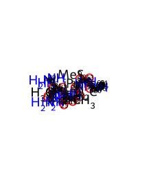 CSCC[C@H](NC(=O)[C@@H](NC(=O)CNC(=O)[C@H](C)NC(=O)[C@H](CCC(N)=O)NC(=O)CNC(=O)[C@H](CCCNC(=N)N)NC(=O)[C@H](C)NC(=O)CN)C(C)C)C(=O)NCC(=O)N[C@@H](Cc1ccccc1)C(=O)O